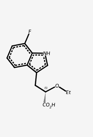 CCO[C@@H](Cc1c[nH]c2c(F)cccc12)C(=O)O